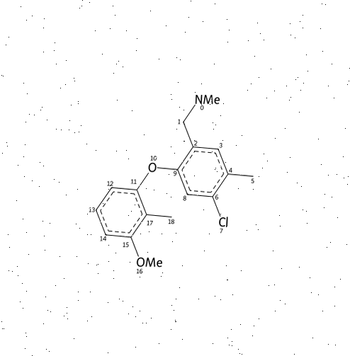 CNCc1cc(C)c(Cl)cc1Oc1cccc(OC)c1C